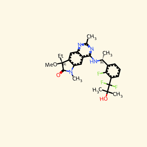 CC[C@]1(OC)C(=O)N(C)c2cc3c(N[C@H](C)c4cccc(C(F)(F)C(C)(C)O)c4F)nc(C)nc3cc21